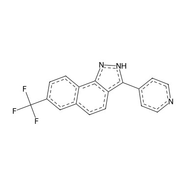 FC(F)(F)c1ccc2c(ccc3c(-c4ccncc4)[nH]nc32)c1